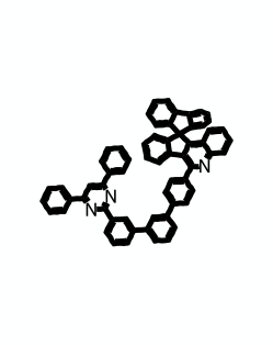 c1ccc(-c2cc(-c3ccccc3)nc(-c3cccc(-c4cccc(-c5ccc(-c6nc7ccccc7c7c6-c6ccccc6C76c7ccccc7-c7ccccc76)cc5)c4)c3)n2)cc1